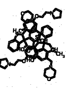 COc1c(CN2CCOCC2)cc(O)c(C(=O)c2c(O)cc(CN3CCOCC3)c(OC)c2C2(CO)c3ccccc3SC2c2ccc(OCCN3CCCC3)cc2)c1C1(CO)c2ccccc2SC1c1ccc(OCCN2CCCC2)cc1